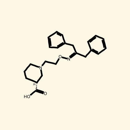 O=C(O)[C@@H]1CCCN(CCON=C(Cc2ccccc2)Cc2ccccc2)C1